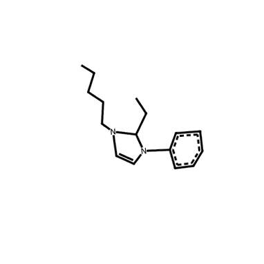 CCCCCN1C=CN(c2ccccc2)C1CC